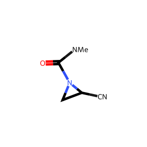 CNC(=O)N1CC1C#N